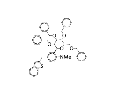 CNc1ccc(Cc2cc3ccccc3s2)cc1[C@@H]1O[C@H](COCc2ccccc2)[C@@H](OCc2ccccc2)[C@H](OCc2ccccc2)[C@H]1OCc1ccccc1